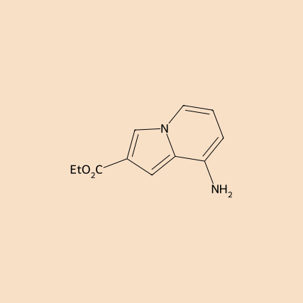 CCOC(=O)c1cc2c(N)cccn2c1